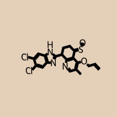 C=CCOc1c(C)cnc2c1C(=S=O)CCC2c1nc2cc(Cl)c(Cl)cc2[nH]1